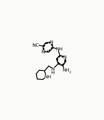 N#Cc1cnc(Nc2cc(NCC3CCCCN3)c(N)cn2)cn1